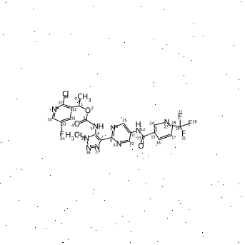 C[C@@H](OC(=O)Nc1c(-c2ncc(NC(=O)c3ccc(C(F)(F)F)nc3)cn2)nnn1C)c1cc(F)cnc1Cl